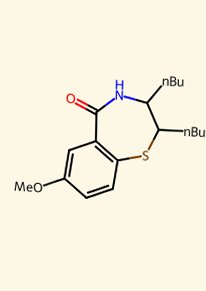 CCCCC1NC(=O)c2cc(OC)ccc2SC1CCCC